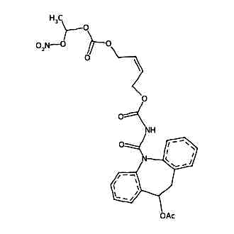 CC(=O)OC1Cc2ccccc2N(C(=O)NC(=O)OC/C=C\COC(=O)OC(C)O[N+](=O)[O-])c2ccccc21